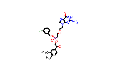 COc1cc(C(=O)COP(=O)(CCOCCn2cnc3c(=O)[nH]c(N)nc32)OCc2cccc(F)c2)ccc1C